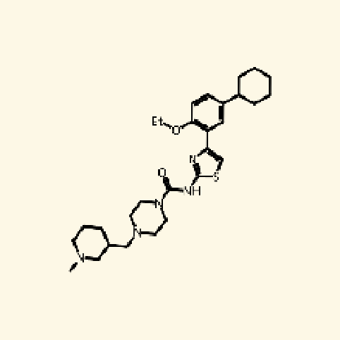 CCOc1ccc(C2CCCCC2)cc1-c1csc(NC(=O)N2CCN(CC3CCCN(C)C3)CC2)n1